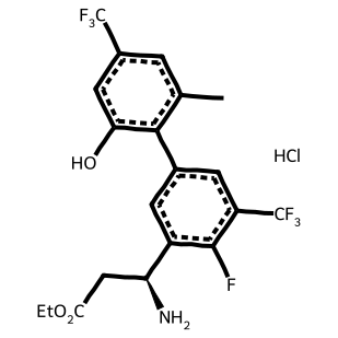 CCOC(=O)C[C@H](N)c1cc(-c2c(C)cc(C(F)(F)F)cc2O)cc(C(F)(F)F)c1F.Cl